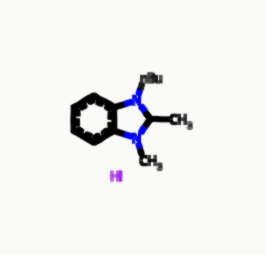 CCCCN1c2ccccc2N(C)C1C.I